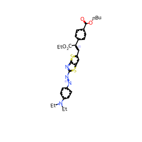 CCCCOC(=O)c1ccc(/C(=C/c2cc3sc(/N=N/c4ccc(N(CC)CC)cc4)nc3s2)C(=O)OCC)cc1